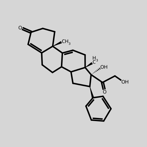 C[C@]12CCC(=O)C=C1CCC1C2=CC[C@@]2(C)C1C[C@H](c1ccccc1)[C@]2(O)C(=O)CO